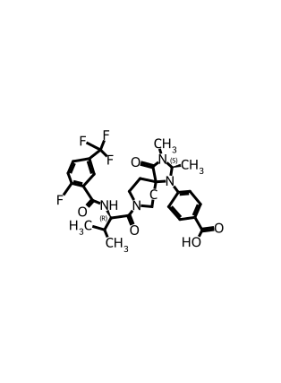 CC(C)[C@@H](NC(=O)c1cc(C(F)(F)F)ccc1F)C(=O)N1CCC2(CC1)C(=O)N(C)[C@@H](C)N2c1ccc(C(=O)O)cc1